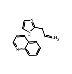 C=CCc1ncc[nH]1.c1ccc2ncccc2c1